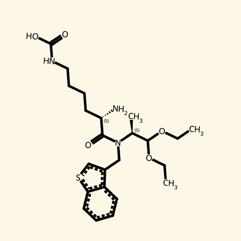 CCOC(OCC)[C@H](C)N(Cc1csc2ccccc12)C(=O)[C@@H](N)CCCCNC(=O)O